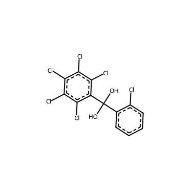 OC(O)(c1ccccc1Cl)c1c(Cl)c(Cl)c(Cl)c(Cl)c1Cl